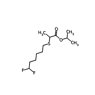 CC(C)OC(=O)C(C)SCCCCCC(F)F